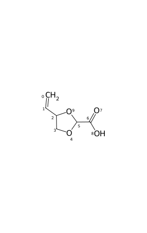 C=CC1COC(C(=O)O)O1